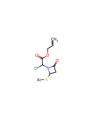 C=CCOC(=O)C(Cl)N1C(=O)CC1SC(C)=O